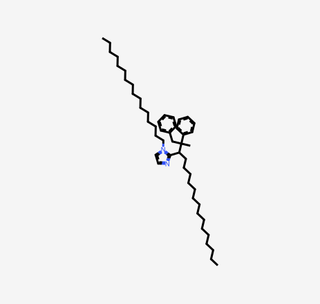 CCCCCCCCCCCCCCCCn1ccnc1C(CCCCCCCCCCCCCCC)C(C)(Cc1ccccc1)c1ccccc1